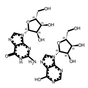 Nc1nc2c(ncn2[C@@H]2O[C@H](CO)[C@@H](O)[C@H]2O)c(=O)[nH]1.OC[C@H]1O[C@@H](n2cnc3c(O)ncnc32)[C@H](O)[C@@H]1O